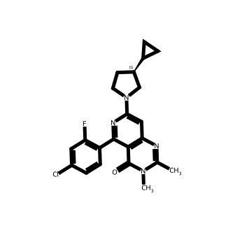 Cc1nc2cc(N3CC[C@@H](C4CC4)C3)nc(-c3ccc(Cl)cc3F)c2c(=O)n1C